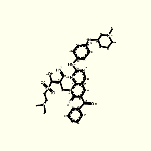 CN(C)CCS(=O)(=O)/C(O)=C(/C=N)Cn1c(=O)c(C(=O)c2ccccc2)cc2cnc(Nc3ccc(NC4CCCN(C)C4)cc3)nc21